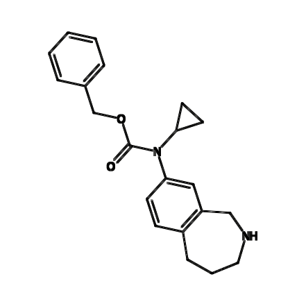 O=C(OCc1ccccc1)N(c1ccc2c(c1)CNCCC2)C1CC1